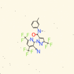 Cc1cccc(N(C)C(=O)c2cc(C(F)(F)F)nn2-c2nc(C(F)(F)F)cc(C(F)(F)F)c2C#N)c1